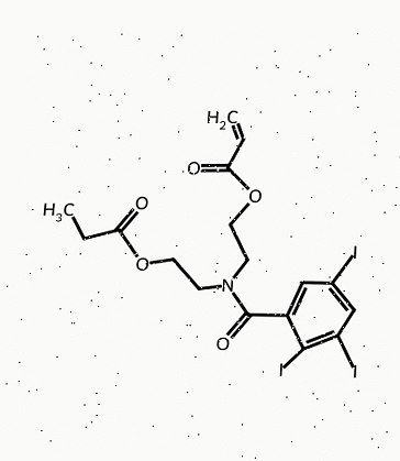 C=CC(=O)OCCN(CCOC(=O)CC)C(=O)c1cc(I)cc(I)c1I